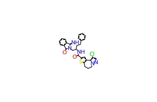 N=C1c2ccccc2C(=O)N1CC(CCc1ccccc1)NC(=O)c1cc2c(s1)CCCn1ncc(Cl)c1-2